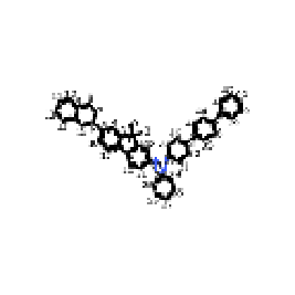 CC1(C)c2cc(-c3ccc4ccccc4c3)ccc2-c2ccc(N(c3ccccc3)c3ccc(-c4ccc(-c5ccccc5)cc4)cc3)cc21